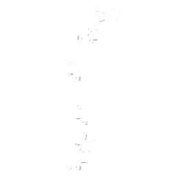 Cn1ncc(-c2nc(N[C@H]3CC[C@H](NCC(=O)NCCCCNCC(=O)NCc4scc5c4C(=O)N(C4CCC(=O)NC4=O)C5=O)CC3)ncc2F)c1CC1CC1